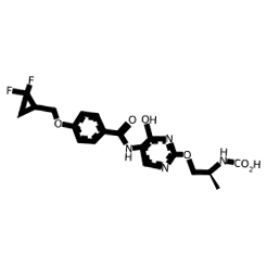 C[C@@H](COc1ncc(NC(=O)c2ccc(OCC3CC3(F)F)cc2)c(O)n1)NC(=O)O